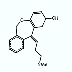 CNCCC=C1C2=C(C=CC(O)C2)OCc2ccccc21